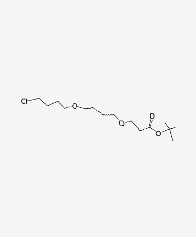 CC(C)(C)OC(=O)CCOCCCCOCCCCCl